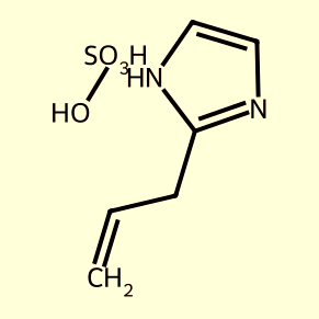 C=CCc1ncc[nH]1.O=S(=O)(O)O